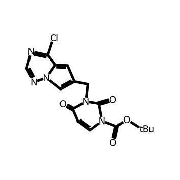 CC(C)(C)OC(=O)n1ccc(=O)n(Cc2cc3c(Cl)ncnn3c2)c1=O